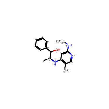 CCOC(=O)Nc1cc(N[C@@H](C)C(O)c2ccccc2)c([N+](=O)[O-])cn1